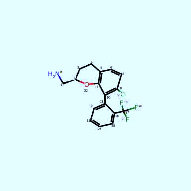 NC[C@H]1CCc2ccc(Cl)c(-c3ccccc3C(F)(F)F)c2O1